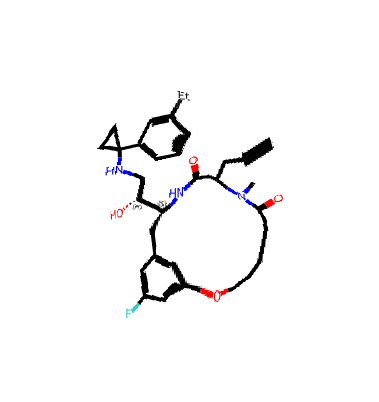 C#CCC1C(=O)N[C@H]([C@H](O)CNC2(c3cccc(CC)c3)CC2)Cc2cc(F)cc(c2)OCCCCC(=O)N1C